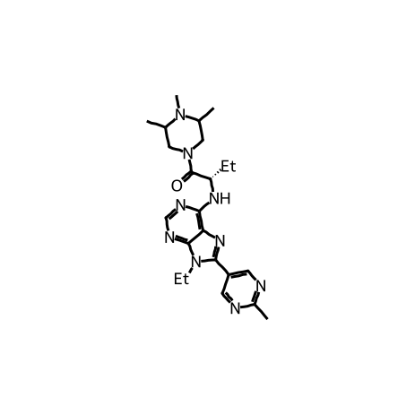 CC[C@H](Nc1ncnc2c1nc(-c1cnc(C)nc1)n2CC)C(=O)N1CC(C)N(C)C(C)C1